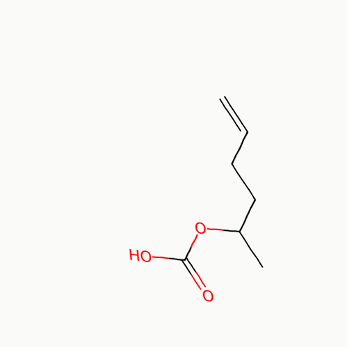 C=CCCC(C)OC(=O)O